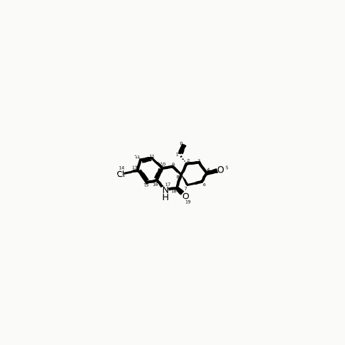 C=C[C@@H]1CC(=O)CC[C@@]12Cc1ccc(Cl)cc1NC2=O